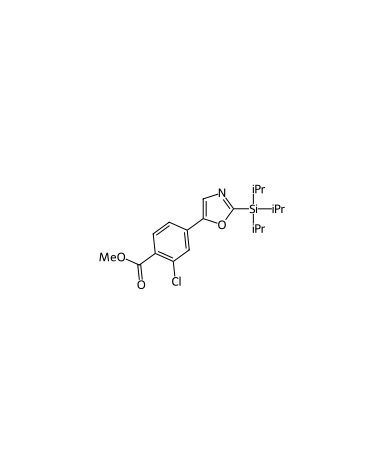 COC(=O)c1ccc(-c2cnc([Si](C(C)C)(C(C)C)C(C)C)o2)cc1Cl